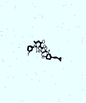 Cc1cc(=O)c(C(=O)N[C@H]2COc3ccc(C#CC4CC4)cc3N(C)C2=O)nn1-c1cccc(F)c1